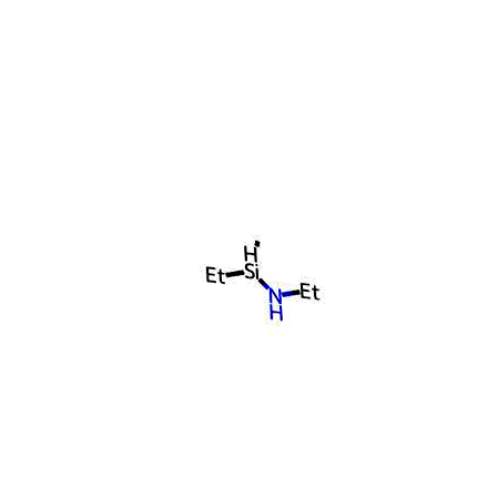 CCN[SiH](C)CC